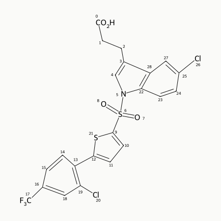 O=C(O)CCc1cn(S(=O)(=O)c2ccc(-c3ccc(C(F)(F)F)cc3Cl)s2)c2ccc(Cl)cc12